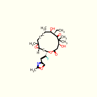 CC[C@H]1C(=O)C(C)(C)[C@@H](O)CC(=O)O[C@H](C(F)=Cc2coc(C)n2)C[C@@H]2O[C@]2(C)CCC[C@H](C)C1O